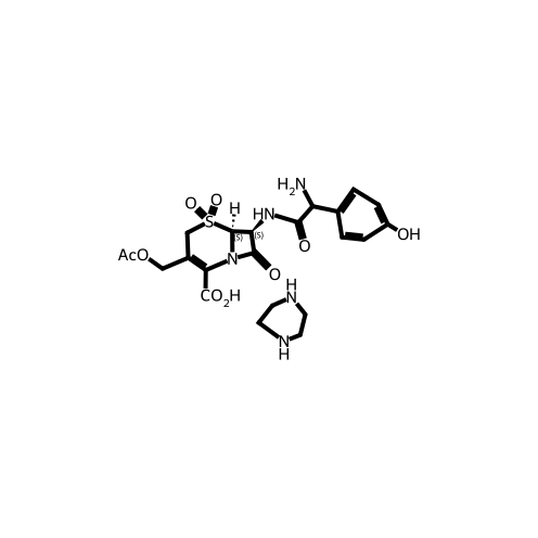 C1CNCCN1.CC(=O)OCC1=C(C(=O)O)N2C(=O)[C@H](NC(=O)C(N)c3ccc(O)cc3)[C@@H]2S(=O)(=O)C1